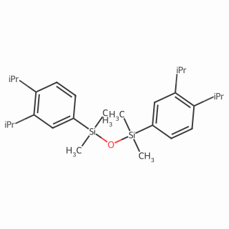 CC(C)c1ccc([Si](C)(C)O[Si](C)(C)c2ccc(C(C)C)c(C(C)C)c2)cc1C(C)C